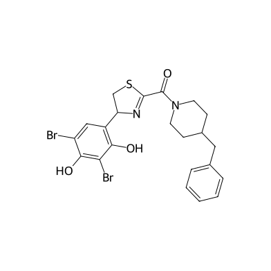 O=C(C1=NC(c2cc(Br)c(O)c(Br)c2O)CS1)N1CCC(Cc2ccccc2)CC1